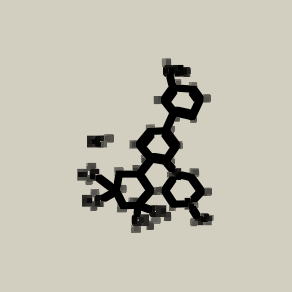 CCCN1CCN(c2cc(-c3cccc(OC)c3)ccc2C2CC(C)(C)CC(C)(C)C2)CC1.Cl